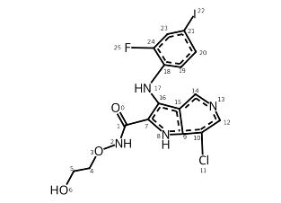 O=C(NOCCO)c1[nH]c2c(Cl)cncc2c1Nc1ccc(I)cc1F